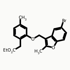 CCOC(=O)Cc1ccc(C)cc1OCc1c(C)oc2ccc(Br)cc12